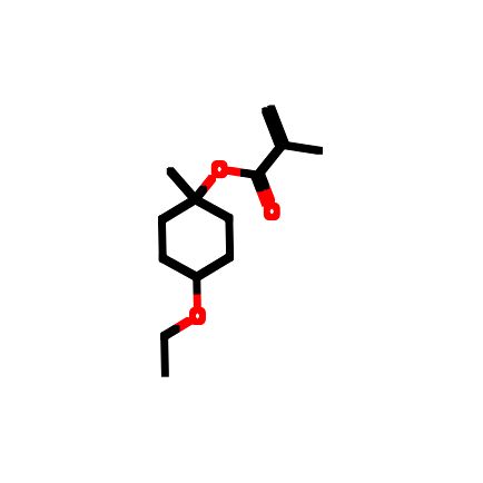 C=C(C)C(=O)OC1(C)CCC(OCC)CC1